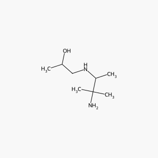 CC(O)CNC(C)C(C)(C)N